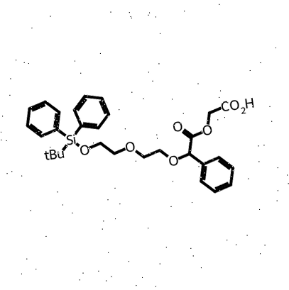 CC(C)(C)[Si](OCCOCCOC(C(=O)OCC(=O)O)c1ccccc1)(c1ccccc1)c1ccccc1